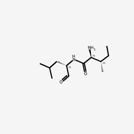 CC[C@H](C)[C@H](N)C(=O)N[C@H](C=O)CC(C)C